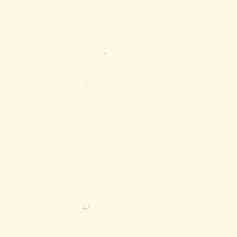 CNC(=O)c1ccc(C=CC(=O)NCc2cccn2-c2ccc(Cl)c(CCl)c2Cl)cc1